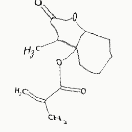 C=C(C)C(=O)OC12CCCCC1OC(=O)C2C